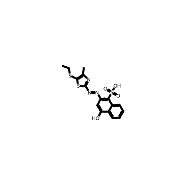 CCSc1sc(/N=N/c2cc(O)c3ccccc3c2S(=O)(=O)O)nc1C